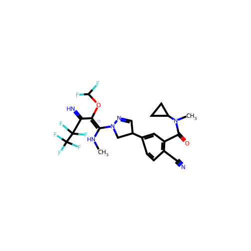 CN/C(=C(/OC(F)F)C(=N)C(F)(F)C(F)(F)F)N1CC(c2ccc(C#N)c(C(=O)N(C)C3CC3)c2)C=N1